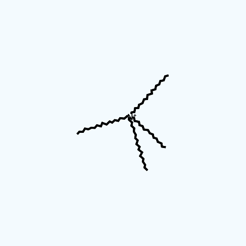 CCCCCCCCCCCCCCCCCC[N+](CCCCCCCCCCCCCCC)(CCCCCCCCCCCCCCCCCC)CCCCCCCCCCCCCCCCCC